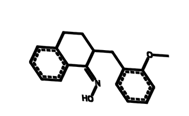 COc1ccccc1CC1CCc2ccccc2C1=NO